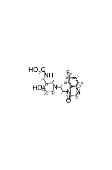 O=C(O)NCC1CN(CCn2c(=O)cnc3ccc(F)cc32)CCC1O